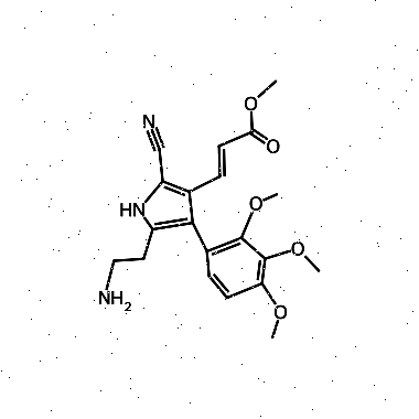 COC(=O)C=Cc1c(C#N)[nH]c(CCN)c1-c1ccc(OC)c(OC)c1OC